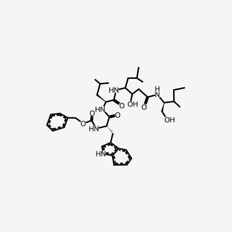 CCC(C)[C@@H](CO)NC(=O)CC(O)C(CC(C)C)NC(=O)[C@H](CC(C)C)NC(=O)[C@H](Cc1c[nH]c2ccccc12)NC(=O)OCc1ccccc1